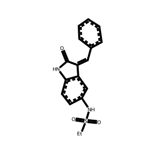 CCS(=O)(=O)Nc1ccc2c(c1)C(=Cc1ccccc1)C(=O)N2